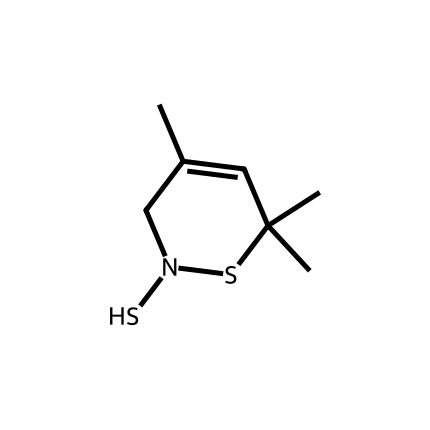 CC1=CC(C)(C)SN(S)C1